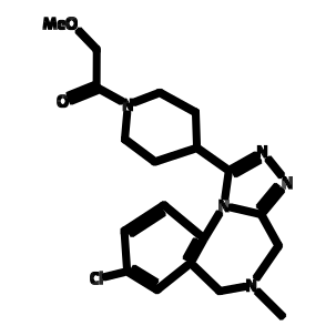 COCC(=O)N1CCC(c2nnc3n2-c2ccc(Cl)cc2CN(C)C3)CC1